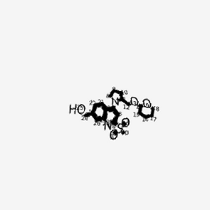 CS(=O)(=O)c1cc(N2CCCC2COC2CCCCO2)c2ccc(CO)cc2n1